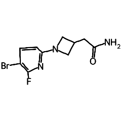 NC(=O)CC1CN(c2ccc(Br)c(F)n2)C1